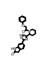 O=C1Cc2ccc(-c3n[nH]c(C4CCCCN4C(=O)COc4ccccc4)n3)cc2N1